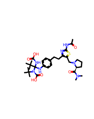 CC(=O)Nc1nc(CCc2ccc(NC(NC(=O)O)(N(C(=O)O)C(C)(C)C)C(C)(C)C)cc2)c(CN2CCC[C@H]2C(=O)N(C)C)s1